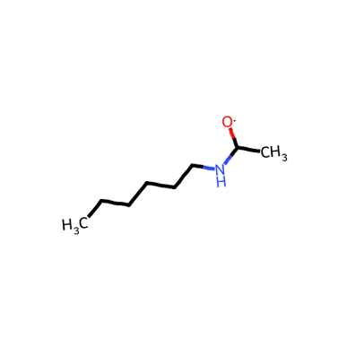 CCCCCCNC(C)[O]